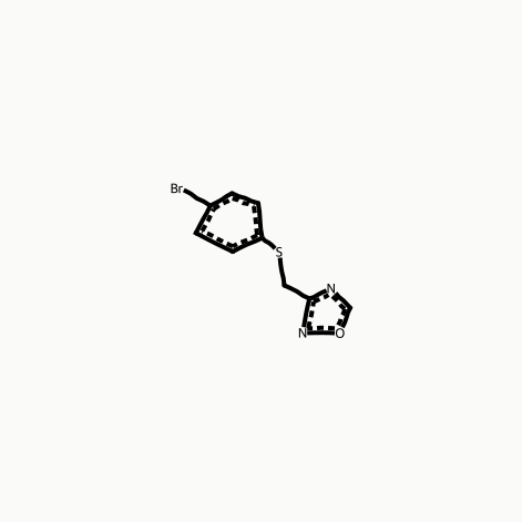 Brc1ccc(SCc2ncon2)cc1